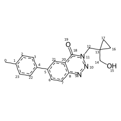 Cc1ccc(-c2ccc3nnn(CC4(CO)CC4)c(=O)c3c2)cc1